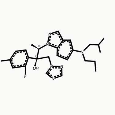 CCCN(CC(C)C)c1ccc2c(cnn2[C@H](C)[C@](O)(Cn2cncn2)c2ccc(F)cc2F)c1